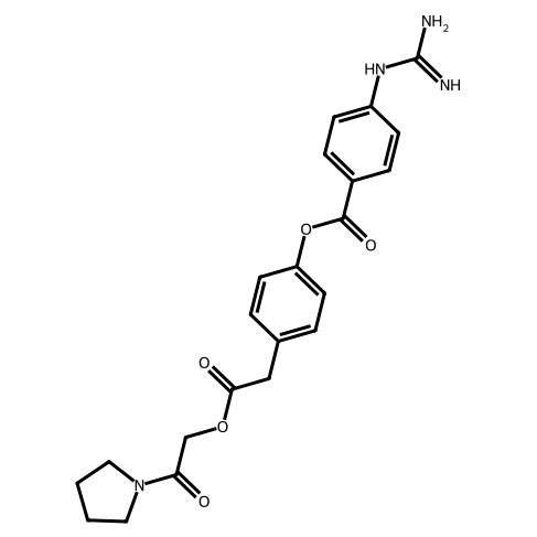 N=C(N)Nc1ccc(C(=O)Oc2ccc(CC(=O)OCC(=O)N3CCCC3)cc2)cc1